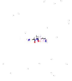 Cc1nnc(SCC2=C(C(=O)[O-])N3C(=O)C(NC(=O)Cc4csc(=N)n4O)[C@@H]3SC2)s1.[Na+]